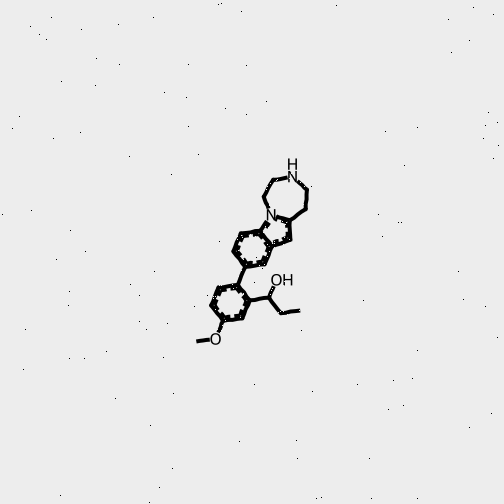 CCC(O)c1cc(OC)ccc1-c1ccc2c(c1)cc1n2CCNCC1